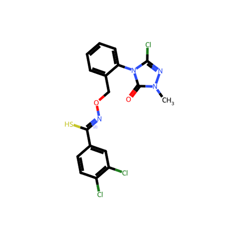 Cn1nc(Cl)n(-c2ccccc2CO/N=C(\S)c2ccc(Cl)c(Cl)c2)c1=O